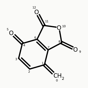 C=C1C=CC(=O)C2=C1C(=O)OC2=O